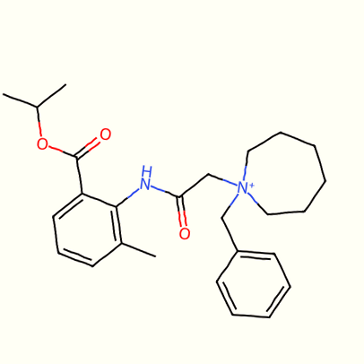 Cc1cccc(C(=O)OC(C)C)c1NC(=O)C[N+]1(Cc2ccccc2)CCCCCC1